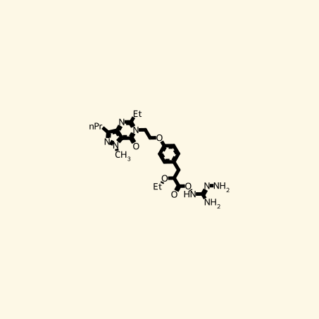 CCCc1nn(C)c2c(=O)n(CCOc3ccc(CC(OCC)C(=O)ONC(N)=NN)cc3)c(CC)nc12